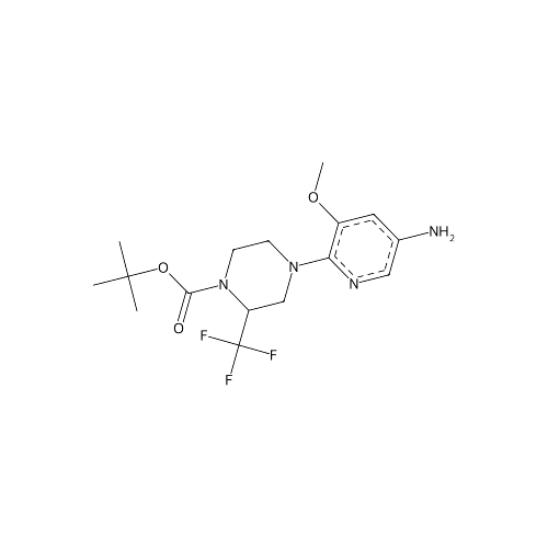 COc1cc(N)cnc1N1CCN(C(=O)OC(C)(C)C)C(C(F)(F)F)C1